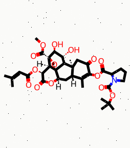 COC(=O)[C@@]12OC[C@]34C([C@@H](O)[C@@H]1O)[C@@]1(C)CC(=O)C(OC(=O)C5CCCN5C(=O)OC(C)(C)C)=C(C)[C@@H]1C[C@H]3OC(=O)[C@H](OC(=O)C=C(C)C)[C@@H]24